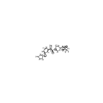 CC(C)(C)S(=O)(=O)NC1CCN(C(=O)Nc2cccc(OC3CCCC3)c2)CC1